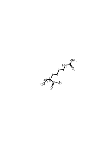 CC(C)(C)N[C@@H](CCCCNC(N)=O)C(=O)C(C)(C)C